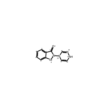 O=c1c2ccccc2[se]n1N1C=CNN=C1